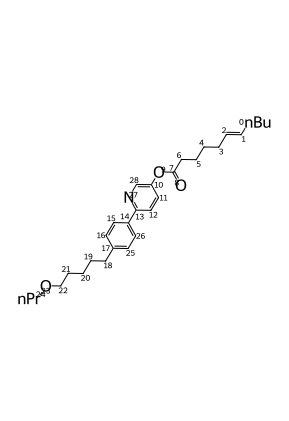 CCCCC=CCCCCC(=O)Oc1ccc(-c2ccc(CCCCCOCCC)cc2)nc1